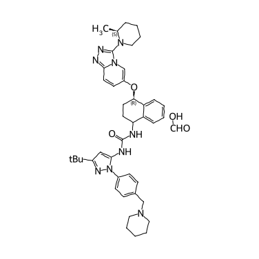 C[C@H]1CCCCN1c1nnc2ccc(O[C@@H]3CCC(NC(=O)Nc4cc(C(C)(C)C)nn4-c4ccc(CN5CCCCC5)cc4)c4ccccc43)cn12.O=CO